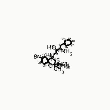 CC1(C(F)(F)F)C[C@H](NC[C@@H](O)[C@@H](N)Cc2ccccc2)c2cc(Br)ccc2O1.Cl.Cl